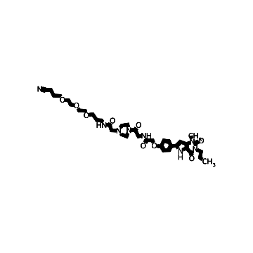 CCCn1c(=O)c2[nH]c(-c3ccc(OCC(=O)NCC(=O)N4CCN(CC(=O)NCCCOCCOCCOCCCC#N)CC4)cc3)cc2n(C)c1=O